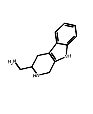 NCC1Cc2c([nH]c3ccccc23)CN1